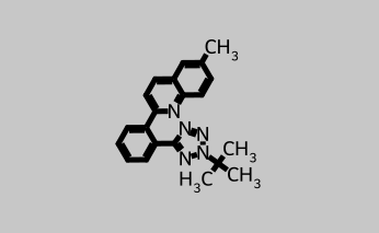 Cc1ccc2nc(-c3ccccc3-c3nnn(C(C)(C)C)n3)ccc2c1